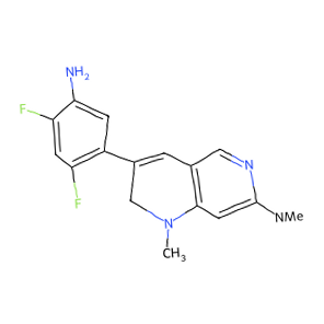 CNc1cc2c(cn1)C=C(c1cc(N)c(F)cc1F)CN2C